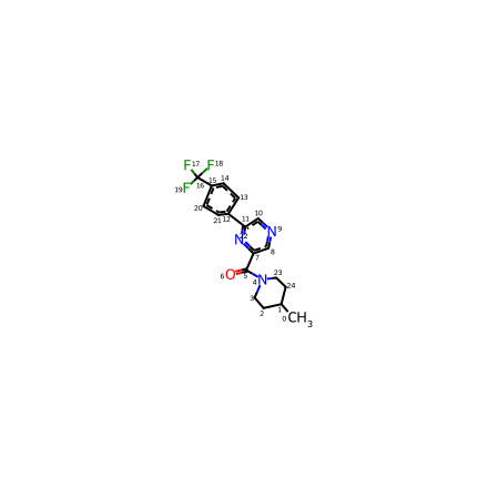 CC1CCN(C(=O)c2cncc(-c3ccc(C(F)(F)F)cc3)n2)CC1